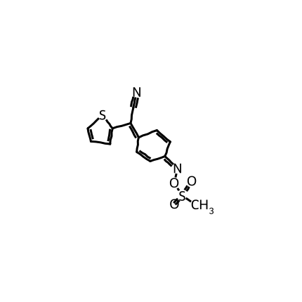 CS(=O)(=O)ON=C1C=CC(=C(C#N)c2cccs2)C=C1